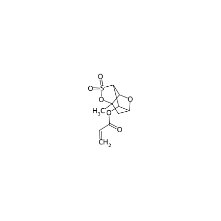 C=CC(=O)OC1C2CC3(C)OS(=O)(=O)C1C3O2